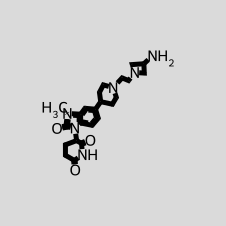 Cn1c(=O)n(C2CCC(=O)NC2=O)c2ccc(C3CCN(CCN4CC(N)C4)CC3)cc21